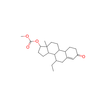 CCC1CC2=CC(=O)CCC2C2CCC3(C)C(OC(=O)OC)CCC3C12